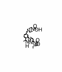 CC[C@H]1COC(=O)N1c1ccnc(NC(C)c2ccc(CN3CCN(C(=O)O)CC3)cc2)n1